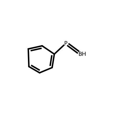 B=Pc1ccccc1